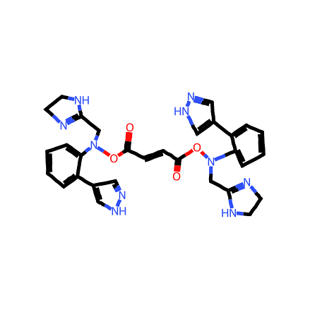 O=C(/C=C/C(=O)ON(CC1=NCCN1)c1ccccc1-c1cn[nH]c1)ON(CC1=NCCN1)c1ccccc1-c1cn[nH]c1